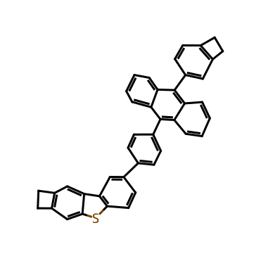 c1ccc2c(-c3ccc4c(c3)CC4)c3ccccc3c(-c3ccc(-c4ccc5sc6cc7c(cc6c5c4)CC7)cc3)c2c1